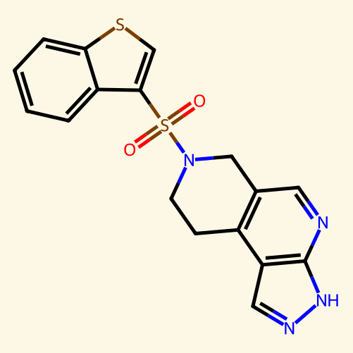 O=S(=O)(c1csc2ccccc12)N1CCc2c(cnc3[nH]ncc23)C1